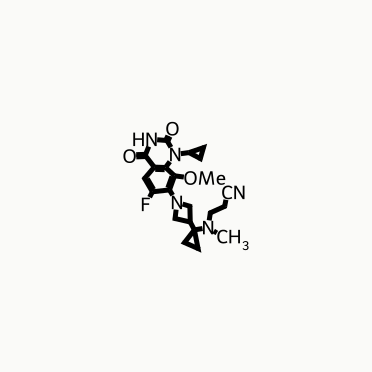 COc1c(N2CC(C3(N(C)CCC#N)CC3)C2)c(F)cc2c(=O)[nH]c(=O)n(C3CC3)c12